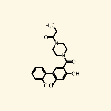 CCC(=O)N1CCN(C(=O)c2cc(-c3ccccc3Cl)c(Cl)cc2O)CC1